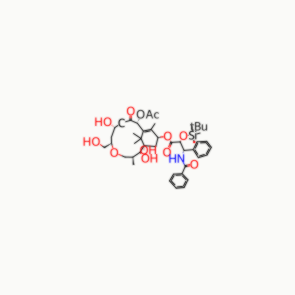 CC(=O)O[C@H]1C(=O)C[C@@H](O)C[C@H](CO)OC[C@H](C)[C@H](O)[C@]2(O)C[C@H](OC(=O)[C@H](O[Si](C)(C)C(C)(C)C)[C@@H](NC(=O)c3ccccc3)c3ccccc3)C(C)=C1C2(C)C